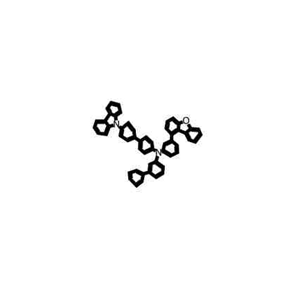 c1ccc(-c2cccc(N(c3ccc(-c4ccc(-n5c6ccccc6c6ccccc65)cc4)cc3)c3cccc(-c4cccc5oc6ccccc6c45)c3)c2)cc1